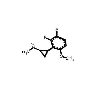 CNC1CC1c1c(OC)ccc(F)c1F